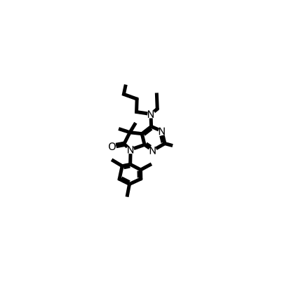 CCCCN(CC)c1nc(C)nc2c1C(C)(C)C(=O)N2c1c(C)cc(C)cc1C